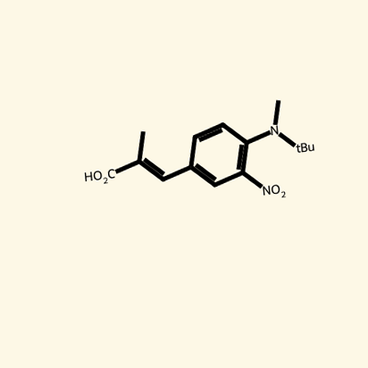 CC(=Cc1ccc(N(C)C(C)(C)C)c([N+](=O)[O-])c1)C(=O)O